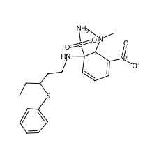 CCC(CCNC1(S(N)(=O)=O)C=CC=C([N+](=O)[O-])C1N(C)C)Sc1ccccc1